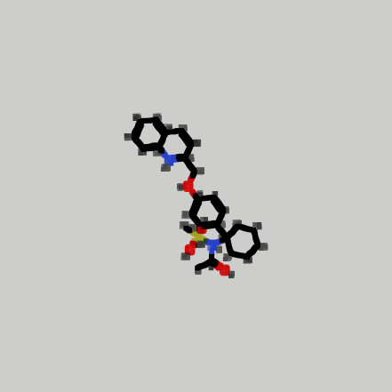 CC(=O)N(C1(c2ccc(OCc3ccc4ccccc4n3)cc2)CCCCC1)S(C)(=O)=O